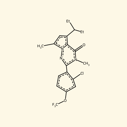 CCC(CC)c1cc(C)n2nc(-c3ccc(OC(F)(F)F)cc3Cl)n(C)c(=O)c12